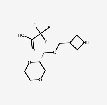 C1CO[C@H](COCC2CNC2)CO1.O=C(O)C(F)(F)F